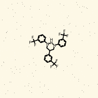 FC(F)(F)c1cccc(C2CN(c3cccc(C(F)(F)F)c3)NN(c3cccc(C(F)(F)F)c3)C2)c1